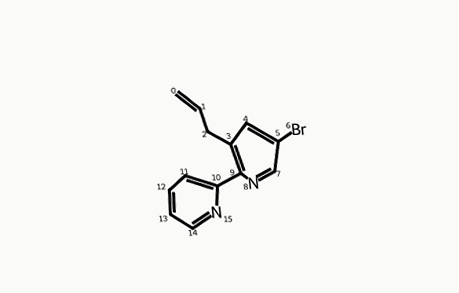 C=CCc1cc(Br)cnc1-c1ccccn1